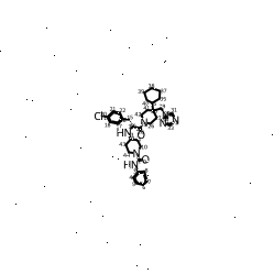 O=C(Nc1ccccc1)N1CCC(N[C@H](Cc2ccc(Cl)cc2)C(=O)N2CCC(Cn3cncn3)(C3CCCCC3)CC2)CC1